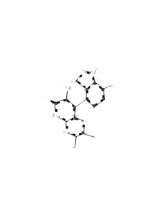 Cc1nc2[nH]c(=O)c(N)c(-c3ccc(F)c4[nH]ncc34)c2nc1C